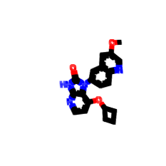 COc1cnc2ccc(-n3c(=O)[nH]c4nccc(OC5CCC5)c43)cc2c1